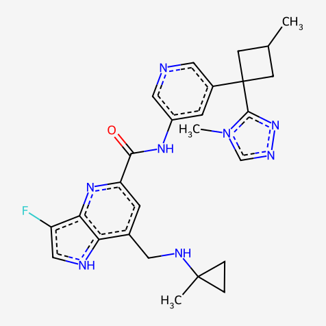 CC1CC(c2cncc(NC(=O)c3cc(CNC4(C)CC4)c4[nH]cc(F)c4n3)c2)(c2nncn2C)C1